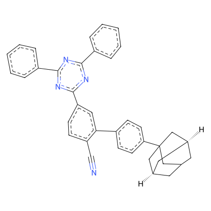 N#Cc1ccc(-c2nc(-c3ccccc3)nc(-c3ccccc3)n2)cc1-c1ccc(C23CC4C[C@H](C2)C[C@@H](C4)C3)cc1